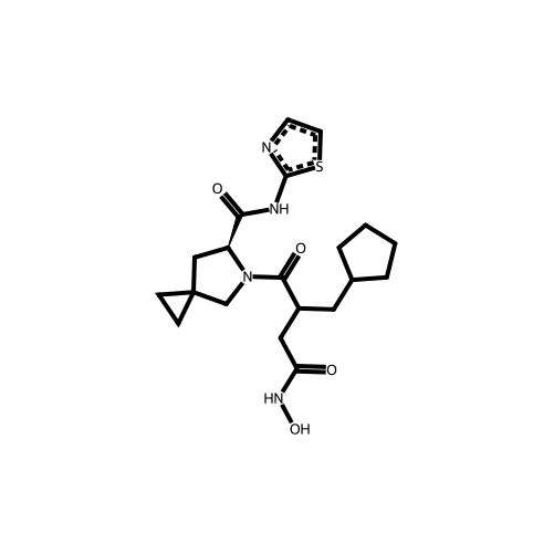 O=C(CC(CC1CCCC1)C(=O)N1CC2(CC2)C[C@H]1C(=O)Nc1nccs1)NO